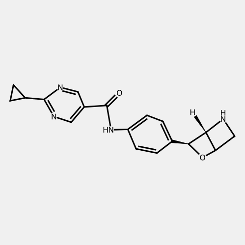 O=C(Nc1ccc([C@@H]2OC3CN[C@H]32)cc1)c1cnc(C2CC2)nc1